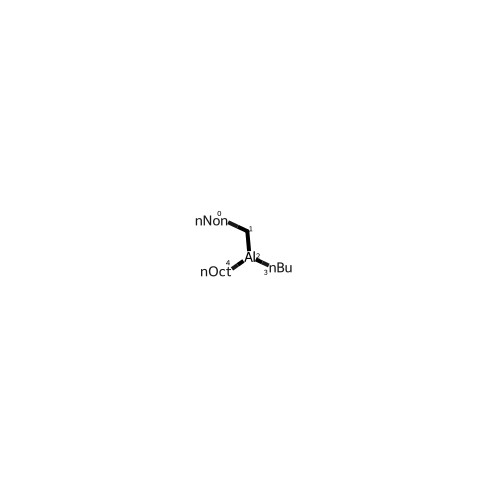 CCCCCCCCC[CH2][Al]([CH2]CCC)[CH2]CCCCCCC